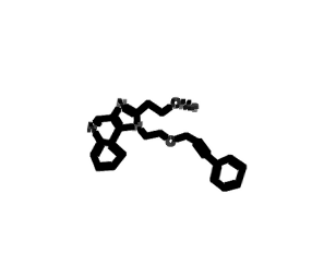 COCCc1nc2cnc3ccccc3c2n1CCOCC#Cc1ccccc1